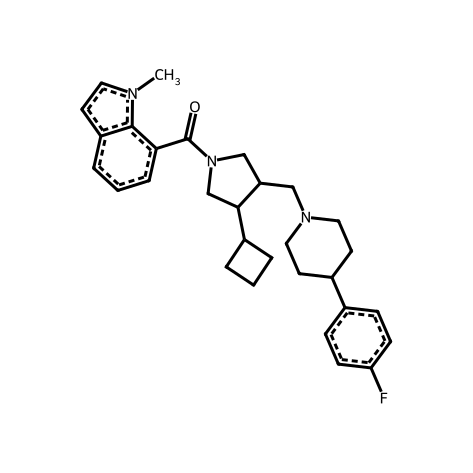 Cn1ccc2cccc(C(=O)N3CC(CN4CCC(c5ccc(F)cc5)CC4)C(C4CCC4)C3)c21